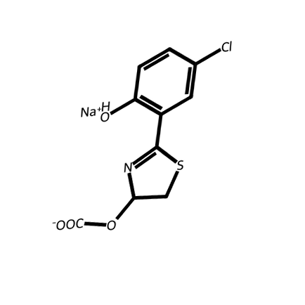 O=C([O-])OC1CSC(c2cc(Cl)ccc2O)=N1.[Na+]